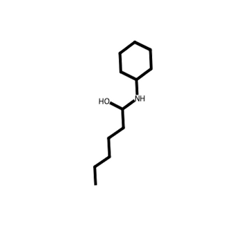 CCCCCC(O)NC1CCCCC1